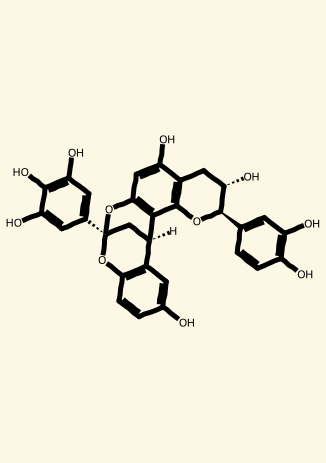 Oc1ccc2c(c1)[C@H]1C[C@@](c3cc(O)c(O)c(O)c3)(O2)Oc2cc(O)c3c(c21)O[C@H](c1ccc(O)c(O)c1)[C@@H](O)C3